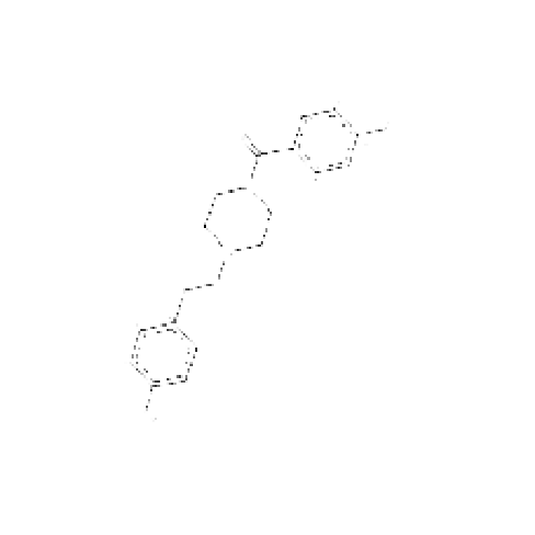 COc1ccc(CCN2CCN(C(=O)c3ccc(N)cc3)CC2)cc1